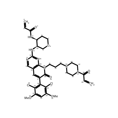 C=CC(=O)N[C@H]1CCOC[C@H]1Nc1ncc2cc(-c3c(Cl)c(OC)cc(OC)c3Cl)c(=O)n(CCCN3CCN(C(=O)C=C)CC3)c2n1